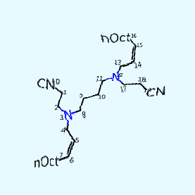 [C-]#[N+]CCN(C/C=C\CCCCCCCC)CCCCN(C/C=C\CCCCCCCC)CCC#N